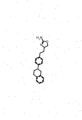 NC1=NC(CCc2ccc(N3CCc4ccccc4C3)cc2)CO1